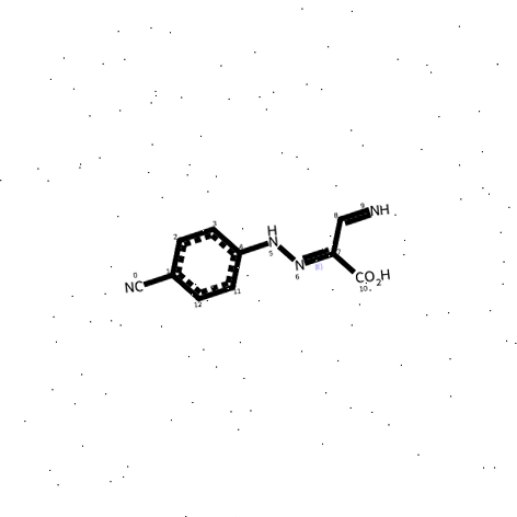 N#Cc1ccc(N/N=C(\C=N)C(=O)O)cc1